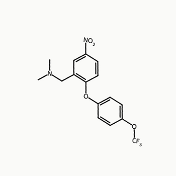 CN(C)Cc1cc([N+](=O)[O-])ccc1Oc1ccc(OC(F)(F)F)cc1